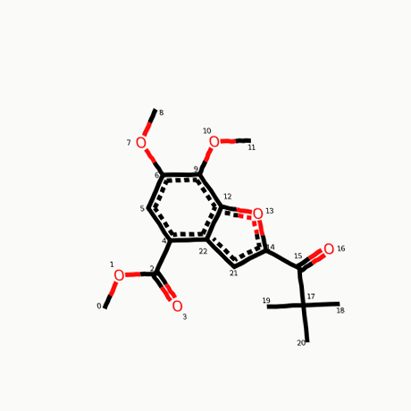 COC(=O)c1cc(OC)c(OC)c2oc(C(=O)C(C)(C)C)cc12